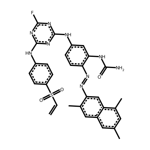 C=CS(=O)(=O)c1ccc(Nc2nc(F)nc(Nc3ccc(N=Nc4cc5c(C)cc(C)cc5cc4C)c(NC(N)=O)c3)n2)cc1